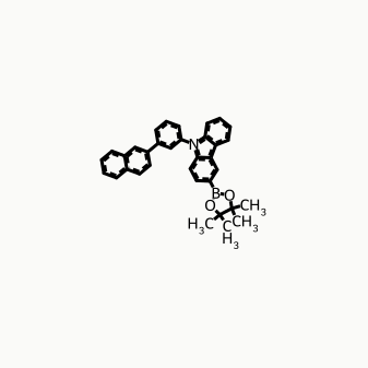 CC1(C)OB(c2ccc3c(c2)c2ccccc2n3-c2cccc(-c3ccc4ccccc4c3)c2)OC1(C)C